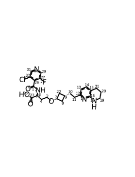 O=C(N[C@@H](CCO[C@H]1C[C@@H](CCc2ccc3c(n2)NCCC3)C1)C(=O)O)c1c(F)cncc1Cl